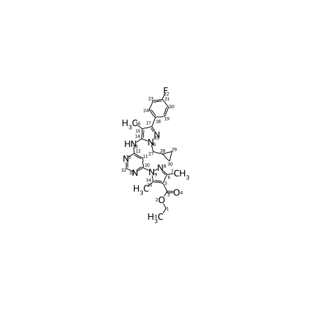 CCOC(=O)c1c(C)nn(-c2cc(Nc3c(C)c(-c4ccc(F)cc4)nn3CC3CC3)ncn2)c1C